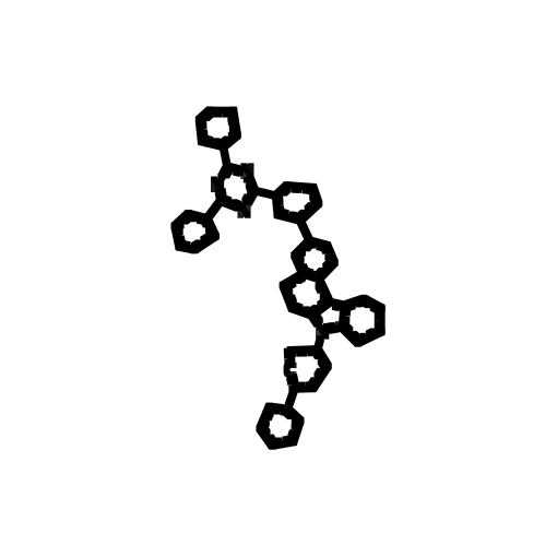 c1ccc(-c2ccc(-n3c4ccccc4c4c5ccc(-c6cccc(-c7nc(-c8ccccc8)nc(-c8ccccc8)n7)c6)cc5ccc43)cc2)cc1